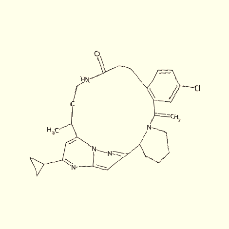 C=C1c2cc(Cl)ccc2CCC(=O)NCCC(C)c2cc(C3CC3)nc3cc(nn23)C2CCCCN12